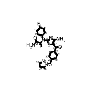 CC(C(N)=O)N(c1ccc(F)cc1)c1nc(N)c(C(=O)c2ccc(Cn3cccn3)cc2)s1